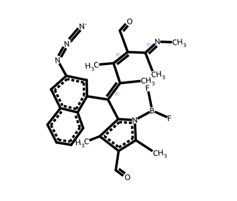 C/N=C(C)/C(C=O)=C(C)\C(C)=C(/c1cc(N=[N+]=[N-])cc2ccccc12)c1c(C)c(C=O)c(C)n1B(F)F